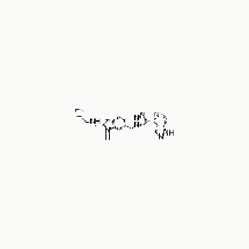 c1cc2[nH]ncc2c(-c2cn(Cc3ccc4cc(CNCC5CCC5)[nH]c4c3)nn2)n1